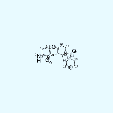 CNc1ccc(OC2CCN(C(=O)C3CCOCC3)CC2)cc1OC